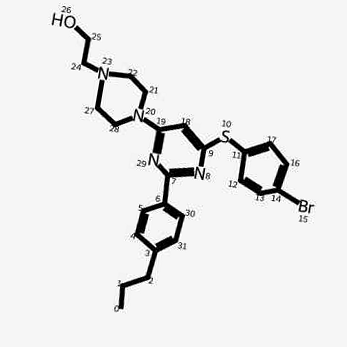 CCCc1ccc(-c2nc(Sc3ccc(Br)cc3)cc(N3CCN(CCO)CC3)n2)cc1